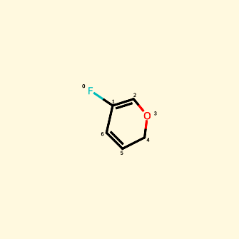 FC1=COCC=C1